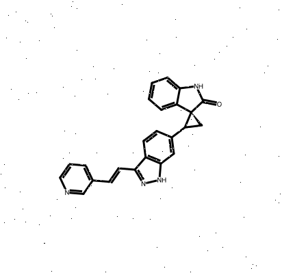 O=C1Nc2ccccc2[C@]12CC2c1ccc2c(/C=C/c3cccnc3)n[nH]c2c1